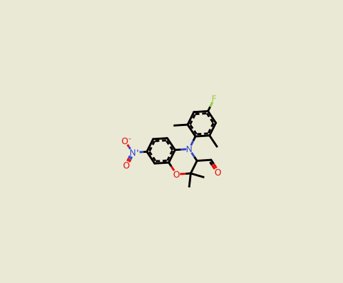 Cc1cc(F)cc(C)c1N1c2ccc([N+](=O)[O-])cc2OC(C)(C)C1C=O